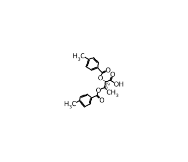 Cc1ccc(C(=O)O[C@H](C(=O)O)[C@@H](C)OC(=O)c2ccc(C)cc2)cc1